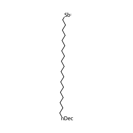 CCCCCCCCCCCCCCCCCCCCCCCCCCCC[CH2][Sb]